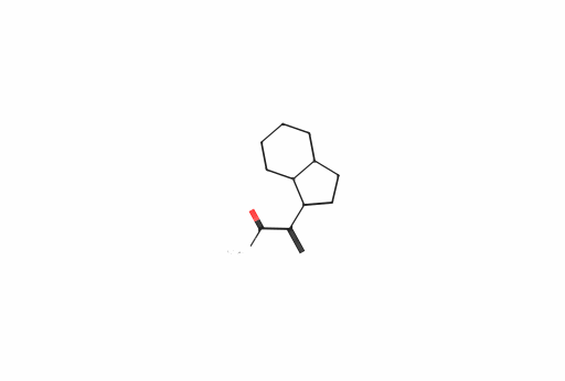 C=C(C(=O)OC)C1CCC2CCCCC21